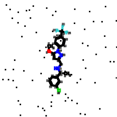 COc1cc(CN[C@H](C)c2cccc(Cl)c2)nn1-c1ccc(C(F)(F)F)cc1